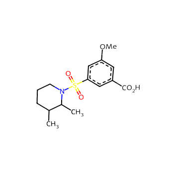 COc1cc(C(=O)O)cc(S(=O)(=O)N2CCCC(C)C2C)c1